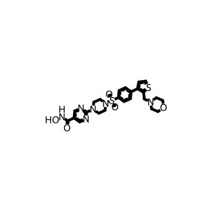 O=C(NO)c1cnc(N2CCN(S(=O)(=O)c3ccc(-c4ccsc4CN4CCOCC4)cc3)CC2)nc1